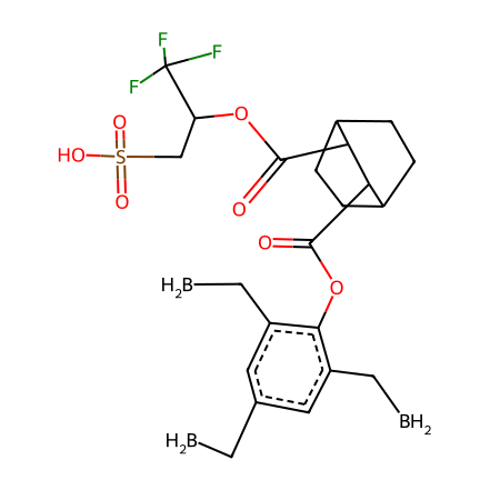 BCc1cc(CB)c(OC(=O)C2C3CCC(CC3)C2C(=O)OC(CS(=O)(=O)O)C(F)(F)F)c(CB)c1